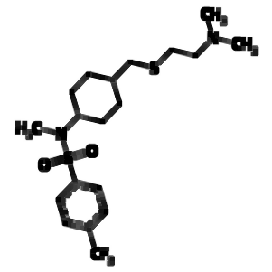 CN(C)CCSCC1CCC(N(C)S(=O)(=O)c2ccc(C(F)(F)F)cc2)CC1